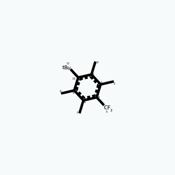 Cc1c(C)c(C(F)(F)F)c(C)c(C)c1C(C)(C)C